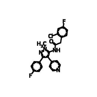 Cn1nc(-c2ccc(F)cc2)c(-c2ccncc2)c1NC(=O)Cc1ccc(F)cc1Cl